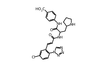 O=C(C=Cc1cc(Cl)ccc1-n1cnnn1)NC(CC1CCCN1)C(=O)Nc1ccc(C(=O)O)cc1